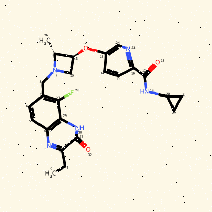 CCc1nc2ccc(CN3C[C@H](Oc4ccc(C(=O)NC5CC5)nc4)[C@H]3C)c(F)c2[nH]c1=O